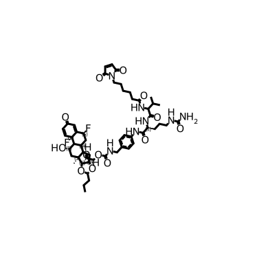 CCCC1O[C@@H]2CC3[C@@H]4C[C@H](F)C5=CC(=O)C=C[C@]5(F)C4[C@@H](O)C[C@]3(C)[C@]2(C(=O)COC(=O)NCc2ccc(NC(=O)[C@H](CCCNC(N)=O)NC(=O)C(NC(=O)CCCCCN3C(=O)C=CC3=O)C(C)C)cc2)O1